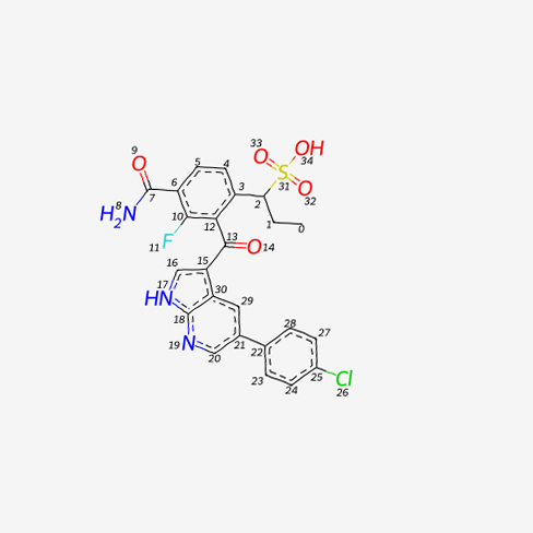 CCC(c1ccc(C(N)=O)c(F)c1C(=O)c1c[nH]c2ncc(-c3ccc(Cl)cc3)cc12)S(=O)(=O)O